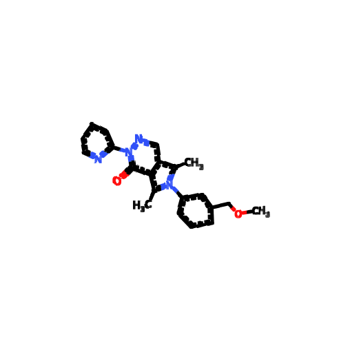 COCc1cccc(-n2c(C)c3cnn(-c4ccccn4)c(=O)c3c2C)c1